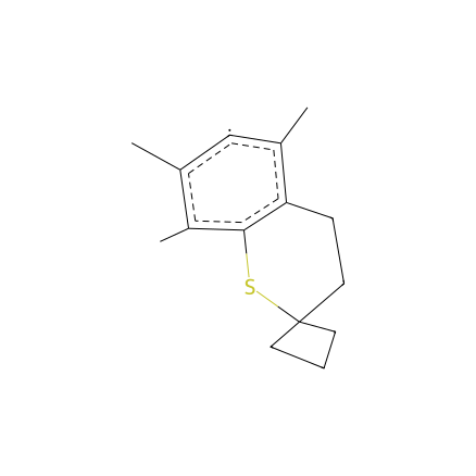 Cc1[c]c(C)c2c(c1C)SC1(CCC1)CC2